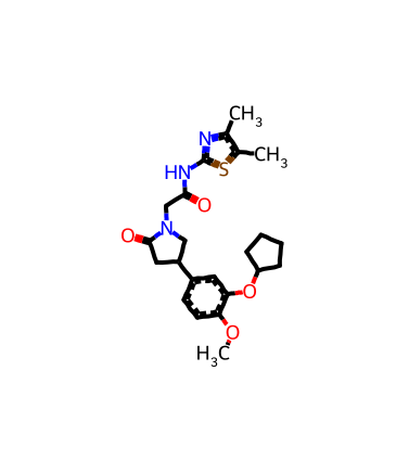 COc1ccc(C2CC(=O)N(CC(=O)Nc3nc(C)c(C)s3)C2)cc1OC1CCCC1